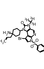 [2H]C([2H])([2H])n1c(=O)n(C2CCC(N)(CC=C)CC2)c2c3c(Br)cn(S(=O)(=O)c4ccccc4)c3ncc21